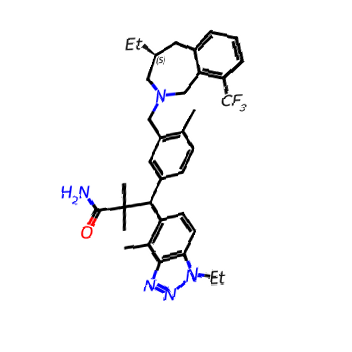 CC[C@H]1Cc2cccc(C(F)(F)F)c2CN(Cc2cc(C(c3ccc4c(nnn4CC)c3C)C(C)(C)C(N)=O)ccc2C)C1